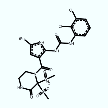 CC(C)(C)c1cc(C(=O)N2CCNC(=O)C2(S(C)(=O)=O)S(C)(=O)=O)c(NC(=O)Nc2cccc(Cl)c2Cl)[nH]1